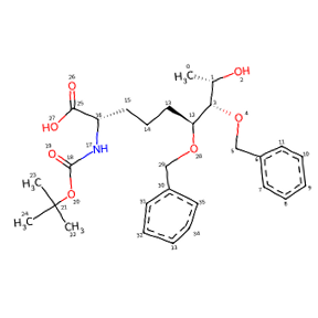 C[C@H](O)[C@H](OCc1ccccc1)[C@H](CCC[C@H](NC(=O)OC(C)(C)C)C(=O)O)OCc1ccccc1